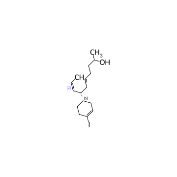 C/C=C\C(CCCCC(C)O)[C@@H]1CC=C(I)CC1